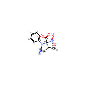 CC(C)[C@@](C(=O)O)(N(C#N)c1ccccc1)[N+](=O)[O-]